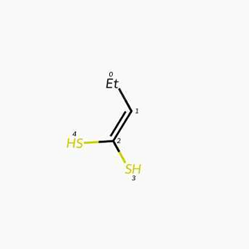 CCC=C(S)S